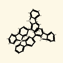 c1ccc2c(c1)-c1ccc(-c3cccc4c3oc3ccccc34)cc1[Si]21c2ccccc2-c2ccc(-c3cccc4c3oc3ccccc34)cc21